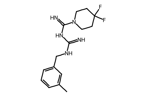 Cc1cccc(CNC(=N)NC(=N)N2CCC(F)(F)CC2)c1